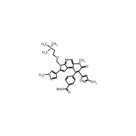 COC(=O)c1ccc(-c2c(-c3cc(C)no3)c(=O)n(C)c3cnc4c(cc(-c5cnn(C)c5)n4COCCS(C)(C)C)c23)cc1